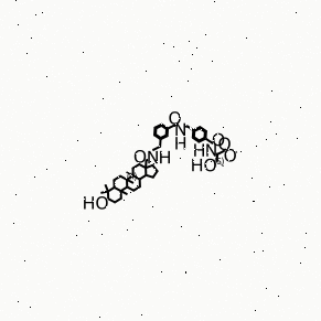 COC(=O)C(NC(=O)c1ccc(CNC(=O)c2cccc(CCNC(=O)C34CCCC3C3CCC5C6(C)CCC(O)C(C)(C)C6CCC5(C)[C@]3(C)CC4)c2)cc1)[C@H](C)O